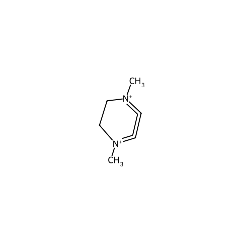 C[N+]1=C=C=[N+](C)CC1